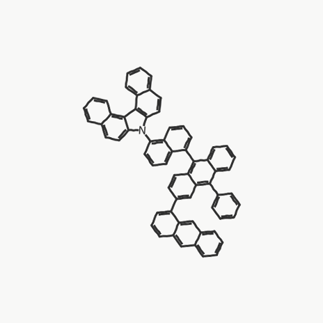 c1ccc(-c2c3ccccc3c(-c3cccc4c(-n5c6ccc7ccccc7c6c6c7ccccc7ccc65)cccc34)c3ccc(-c4cccc5cc6ccccc6cc45)cc23)cc1